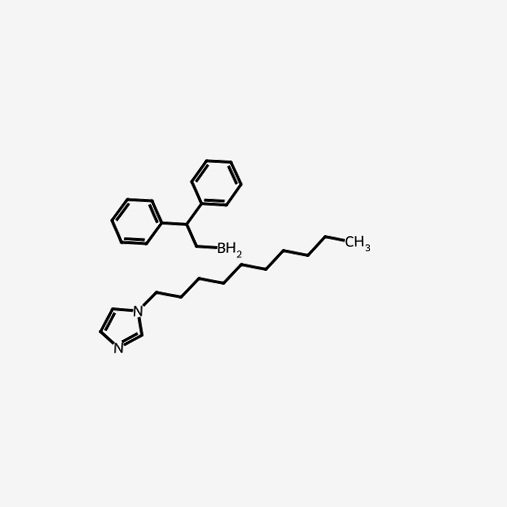 BCC(c1ccccc1)c1ccccc1.CCCCCCCCCCn1ccnc1